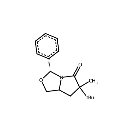 CC(C)(C)C1(C)CC2CO[C@H](c3ccccc3)N2C1=O